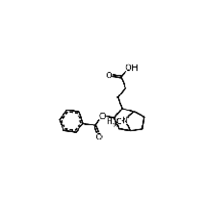 CN1C2CCC1C(CCC(=O)O)C(OC(=O)c1ccccc1)C2